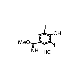 COC(=N)c1cc(I)c(O)c(I)c1.Cl